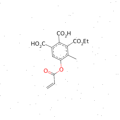 C=CC(=O)Oc1cc(C(=O)O)c(C(=O)O)c(C(=O)OCC)c1C